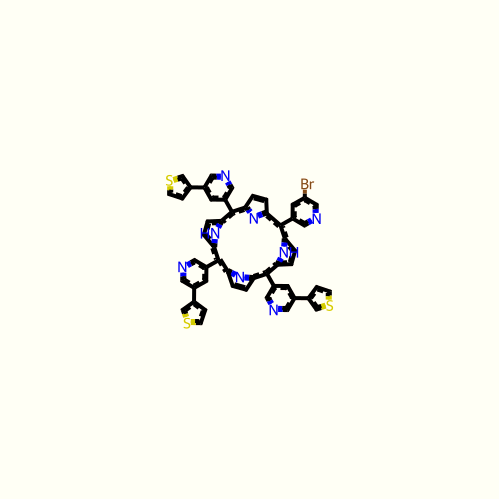 Brc1cncc(-c2c3nc(c(-c4cncc(-c5ccsc5)c4)c4ccc([nH]4)c(-c4cncc(-c5ccsc5)c4)c4nc(c(-c5cncc(-c6ccsc6)c5)c5ccc2[nH]5)C=C4)C=C3)c1